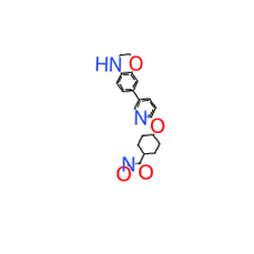 O=NC(=O)C1CCC(Oc2ccc(-c3ccc4c(c3)OCCN4)cn2)CC1